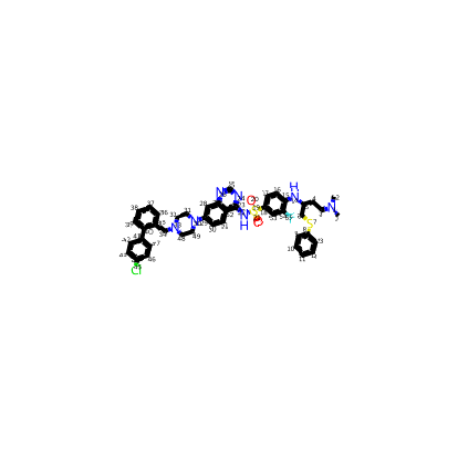 CN(C)CCC(CSc1ccccc1)Nc1ccc(S(=O)(=O)Nc2ncnc3cc(N4CCN(Cc5ccccc5-c5ccc(Cl)cc5)CC4)ccc23)cc1F